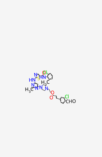 Cc1nc(Nc2ncc(C(=O)Nc3c(C)cccc3Cl)s2)cc(N2CCN(CCOC(=O)/C=C/c3ccc(C=O)c(Cl)c3)CC2)n1